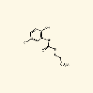 CCOC(=O)CCNC(=O)Nc1cc(Cl)ccc1O